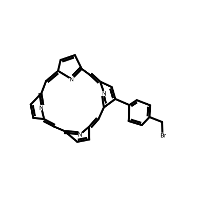 BrCc1ccc(C2=CC3=CC4=NC(=CC5=NC(=CC6=NC(=CC2=N3)C=C6)C=C5)C=C4)cc1